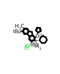 Cc1cc2c(cc1C(C)(C)C)-c1cc(C(C)(C)C)c(C)[c]([Zr+2](=[C]3CCCCCC3)[CH]3C=CC=C3)c1C2.[Cl-].[Cl-]